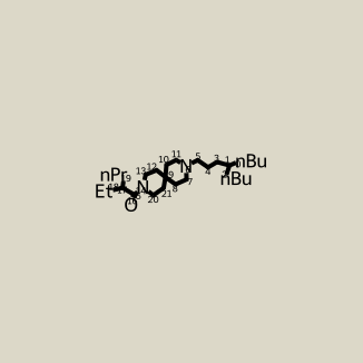 CCCCC(CCCC)CCCN1CCC2(CC1)CCN(C(=O)C(CC)CCC)CC2